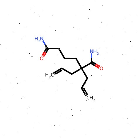 C=CCC(CC=C)(CCCC(N)=O)C(N)=O